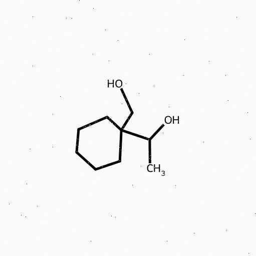 CC(O)C1(CO)CCCCC1